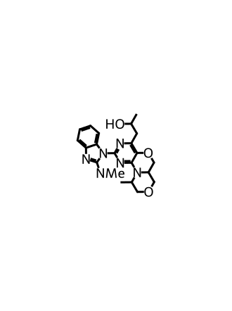 CNc1nc2ccccc2n1-c1nc(CC(C)O)c2c(n1)N1C(C)COCC1CO2